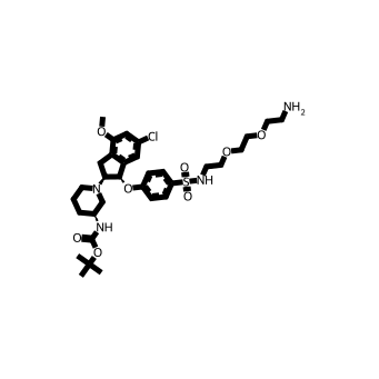 COc1cc(Cl)cc2c1C[C@H](N1CCC[C@@H](NC(=O)OC(C)(C)C)C1)[C@H]2Oc1ccc(S(=O)(=O)NCCOCCOCCN)cc1